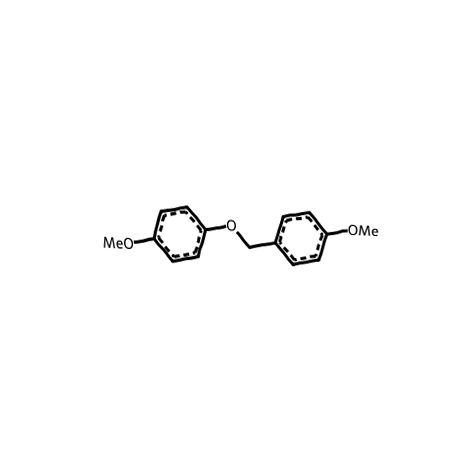 COc1ccc(COc2ccc(OC)cc2)cc1